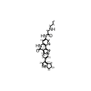 CCCNCC(=O)Nc1cnc2c(c1)[nH]c(=O)c1c2nn2cc(-c3cnn4c3CCC4)sc12